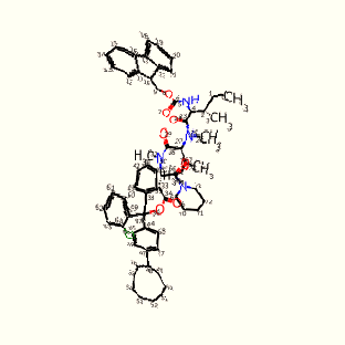 CC[C@H](C)[C@H](NC(=O)OCC1c2ccccc2-c2ccccc21)C(=O)N(C)[C@H](C(=O)N(C)[C@@H](CC(=O)OC(c1ccccc1)(c1ccc(C2CCCCCCCC2)cc1)c1ccccc1Cl)C(=O)N1CCCCC1)C(C)C